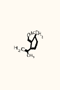 C=C(C)C1CCC(C)C1COC(C)=O